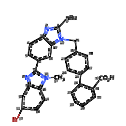 CCCCc1nc2ccc(-c3nc4cc(Br)ccc4n3C)cc2n1Cc1ccc(-c2ccccc2C(=O)O)cc1